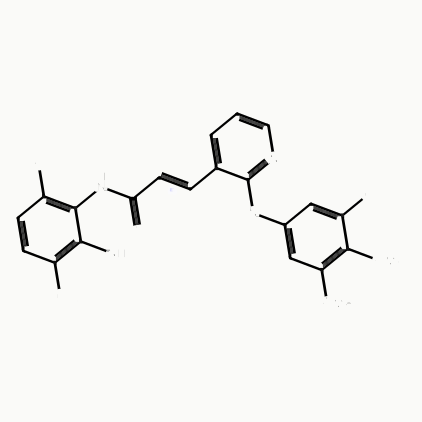 COc1cc(Nc2ncccc2/C=C/C(=O)Nc2c(C)ccc(C)c2N)cc(C)c1OC